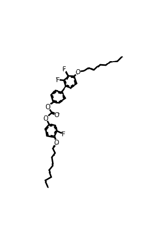 CCCCCCCCOc1ccc(OC(=O)Oc2ccc(-c3ccc(OCCCCCCCC)c(F)c3F)cc2)cc1F